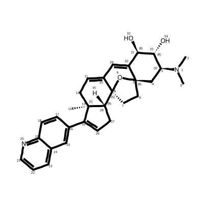 CN(C)[C@H]1C[C@@]23CC[C@@]4(O2)C(=CC[C@]2(C)C(c5ccc6ncccc6c5)=CC[C@H]24)C=C3[C@@H](O)[C@@H]1O